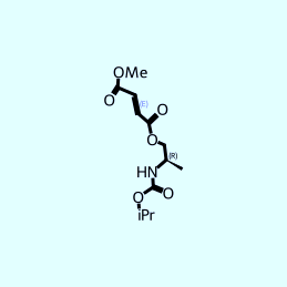 COC(=O)/C=C/C(=O)OC[C@@H](C)NC(=O)OC(C)C